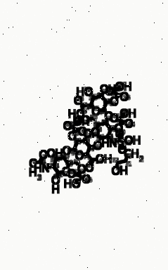 CC(=O)N[C@@H]1[C@@H](O)[C@H](O[C@@H]2O[C@H](C(=O)O)[C@@H](O[C@@H]3O[C@H](CO)[C@@H](O[C@H]4O[C@@H](C(=O)O)[C@H](O)[C@@H](O)[C@@H]4OS(=O)(=O)O)[C@H](OS(=O)(=O)O)[C@H]3NS(=O)(=O)O)[C@H](O)[C@H]2OS(=O)(=O)O)[C@H](COS(=O)(=O)O)O[C@H]1O.[CH2]CCO